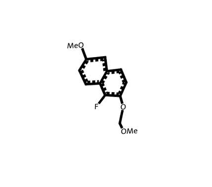 COCOc1ccc2cc(OC)ccc2c1F